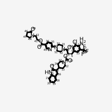 Nc1c(Cl)cc(C[C@@H](OC(=O)N2CCC(c3cc4ccccc4[nH]c3=O)CC2)C(=O)N2CCN(c3ccc(C(=O)OCCN4CCCC4=O)cn3)CC2)cc1C(F)(F)F